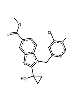 COC(=O)c1ccc2c(c1)nc(C1(O)CC1)n2Cc1ccc(Cl)c(Cl)c1